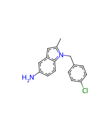 Cc1cc2cc(N)ccc2n1Cc1ccc(Cl)cc1